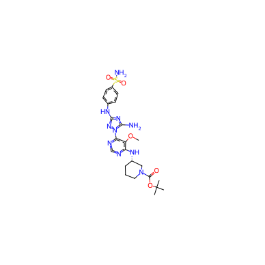 COc1c(N[C@H]2CCCN(C(=O)OC(C)(C)C)C2)ncnc1-n1nc(Nc2ccc(S(N)(=O)=O)cc2)nc1N